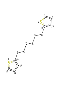 c1csc(CCCCCCc2cccs2)c1